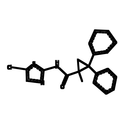 CC1(C(=O)Nc2ncc(Cl)s2)CC1(c1ccccc1)c1ccccc1